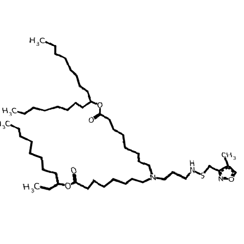 CCCCCCCCC(CC)OC(=O)CCCCCCCN(CCCCCCCC(=O)OC(CCCCCCCC)CCCCCCCC)CCCNSCc1nocc1C